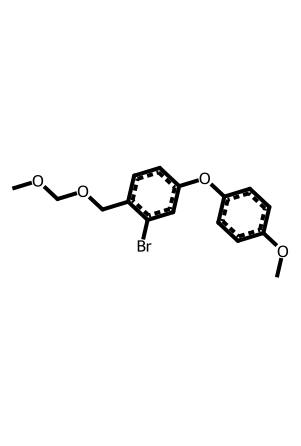 COCOCc1ccc(Oc2ccc(OC)cc2)cc1Br